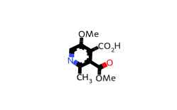 COC(=O)c1c(C)ncc(OC)c1C(=O)O